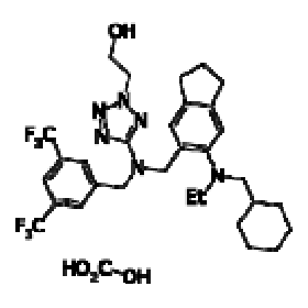 CCN(CC1CCCCC1)c1cc2c(cc1CN(Cc1cc(C(F)(F)F)cc(C(F)(F)F)c1)c1nnn(CCO)n1)CCC2.O=C(O)O